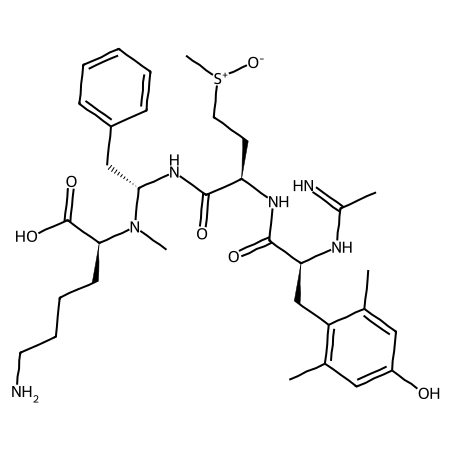 CC(=N)N[C@@H](Cc1c(C)cc(O)cc1C)C(=O)N[C@H](CC[S+](C)[O-])C(=O)N[C@@H](Cc1ccccc1)N(C)[C@@H](CCCCN)C(=O)O